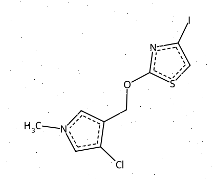 Cn1cc(Cl)c(COc2nc(I)cs2)c1